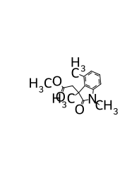 COC(=O)CC1(C)C(=O)N(C)c2cccc(C)c21